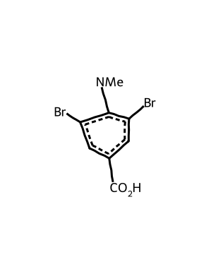 CNc1c(Br)cc(C(=O)O)cc1Br